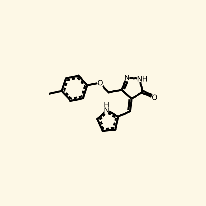 Cc1ccc(OCC2=NNC(=O)C2=Cc2ccc[nH]2)cc1